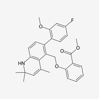 COC(=O)c1ccccc1OCc1c(-c2ccc(F)cc2OC)ccc2c1C(C)=CC(C)(C)N2